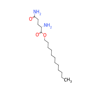 CCCCCCCCCCCCOC(=O)[C@@H](N)CCC(N)=O